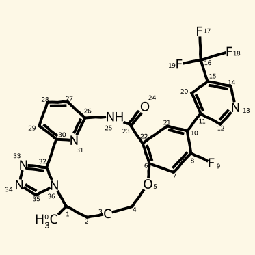 CC1CCCOc2cc(F)c(-c3cncc(C(F)(F)F)c3)cc2C(=O)Nc2cccc(n2)-c2nncn21